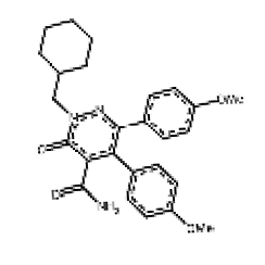 COc1ccc(-c2nn(CC3CCCCC3)c(=O)c(C(N)=O)c2-c2ccc(OC)cc2)cc1